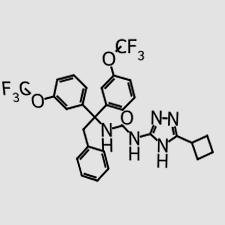 O=C(Nc1nnc(C2CCC2)[nH]1)NC(Cc1ccccc1)(c1cccc(OC(F)(F)F)c1)c1cccc(OC(F)(F)F)c1